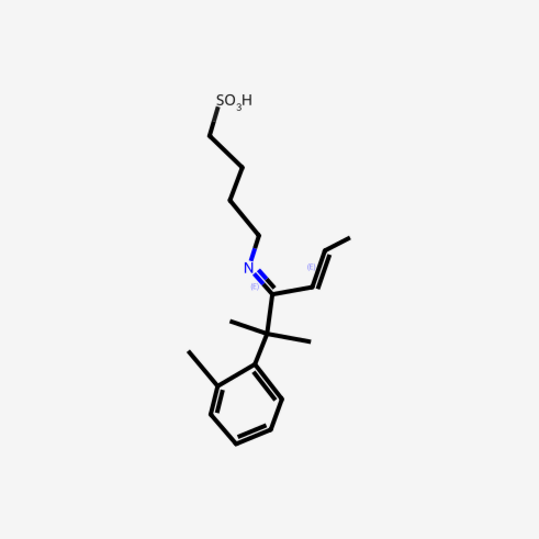 C/C=C/C(=N\CCCCS(=O)(=O)O)C(C)(C)c1ccccc1C